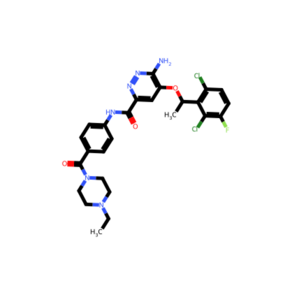 CCN1CCN(C(=O)c2ccc(NC(=O)c3cc(OC(C)c4c(Cl)ccc(F)c4Cl)c(N)nn3)cc2)CC1